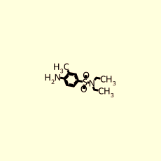 CCN(CC)S(=O)(=O)c1ccc(N)c(C)c1